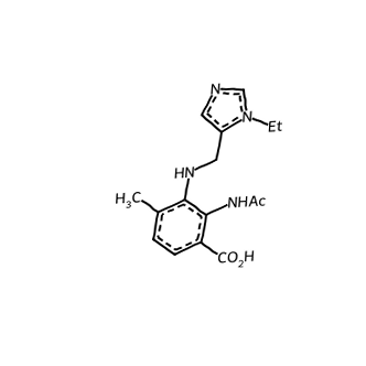 CCn1cncc1CNc1c(C)ccc(C(=O)O)c1NC(C)=O